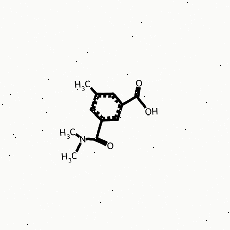 Cc1cc(C(=O)O)cc(C(=O)N(C)C)c1